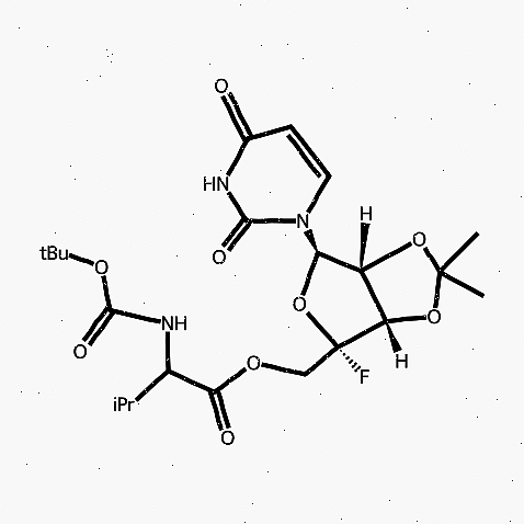 CC(C)C(NC(=O)OC(C)(C)C)C(=O)OC[C@@]1(F)O[C@@H](n2ccc(=O)[nH]c2=O)[C@@H]2OC(C)(C)O[C@@H]21